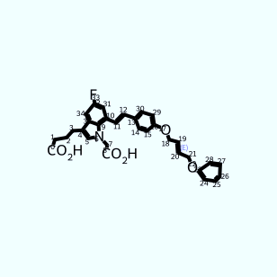 O=C(O)CCCc1cn(CC(=O)O)c2c(C=Cc3ccc(OC/C=C/COc4ccccc4)cc3)cc(F)cc12